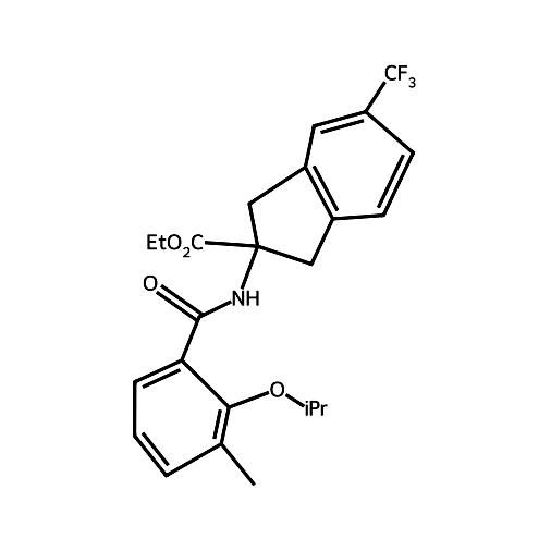 CCOC(=O)C1(NC(=O)c2cccc(C)c2OC(C)C)Cc2ccc(C(F)(F)F)cc2C1